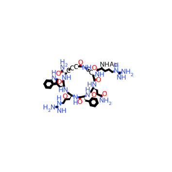 CC(=O)N[C@@H](CCCNC(=N)N)C(=O)N[C@H]1CCNC(=O)CCC[C@@H](C(N)=O)NC(=O)[C@H](Cc2c[nH]c3ccccc23)NC(=O)[C@H](CCCNC(=N)N)NC(=O)[C@@H](Cc2ccccc2)NC(=O)[C@H](CCC(N)=O)NC1=O